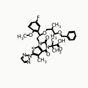 COc1ccc(F)cc1[C@H](Cn1c(=O)n(C(C)(C)C(=O)O)c(=O)c2c(C)c(-n3nccn3)sc21)OCC(C)COCc1ccccc1